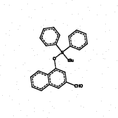 CC(C)(C)[Si](Oc1cc(C=O)cc2ccccc12)(c1ccccc1)c1ccccc1